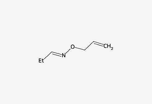 [CH2]CC=NOCC=C